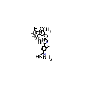 CC1(C)CC(OC(=N)/C=C\C(=N)c2ccc(/C(C=N)=C/N)cc2F)CC(C)(C)N1